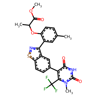 COC(=O)C(C)Oc1ccc(C)cc1-c1nsc2ccc(-c3c(C(F)(F)F)n(C)c(=O)[nH]c3=O)cc12